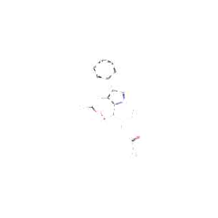 CC(C)(C)C1c2c(OC(N)=O)c(-c3ccccc3)c(F)n2CCN1OC(N)=O